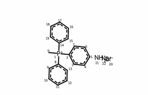 C[P+](c1ccccc1)(c1ccccc1)c1ccccc1.[Br-].[NH2-].[Na+]